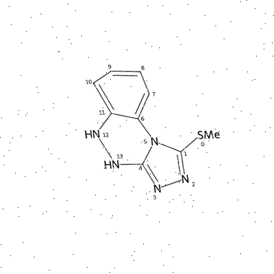 CSc1nnc2n1-c1ccccc1NN2